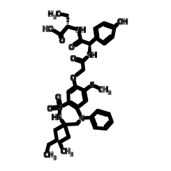 CCCCC1(CCC)CN(c2ccccc2)c2cc(SC)c(OCC(=O)N[C@@H](C(=O)N[C@@H](CC)C(=O)O)c3ccc(O)cc3)cc2S(=O)(=O)N1